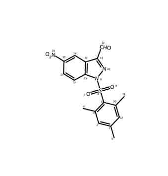 Cc1cc(C)c(S(=O)(=O)n2nc(C=O)c3cc([N+](=O)[O-])ccc32)c(C)c1